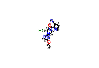 CCCOc1ccnc(N2CCN(C(=O)c3ncccc3C#N)CC2)n1.Cl